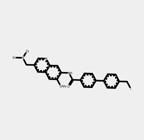 CCN(CC)Cc1cnc2cc(NC(=O)c3ccc(-c4ccc(CI)cc4)cc3)c(OC)cc2c1